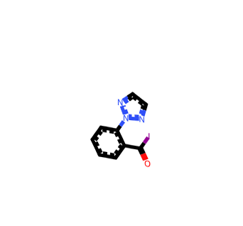 O=C(I)c1ccccc1-n1nccn1